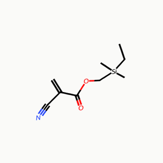 C=C(C#N)C(=O)OC[Si](C)(C)CC